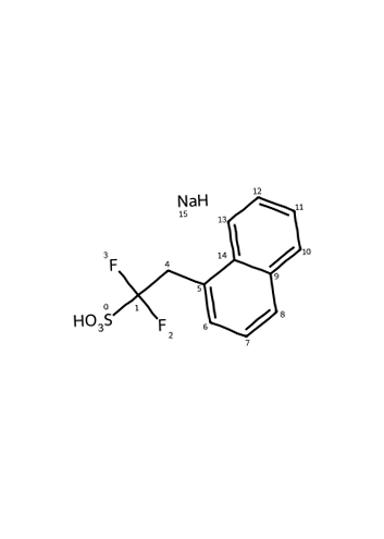 O=S(=O)(O)C(F)(F)Cc1cccc2ccccc12.[NaH]